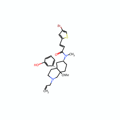 C=CCN1CC[C@@]2(c3cccc(O)c3)C[C@@H](N(C)C(=O)/C=C/c3cc(Br)cs3)CC[C@]2(OC)C1